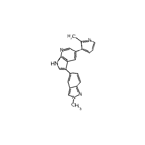 Cc1ncccc1-c1cnc2[nH]cc(-c3ccc4nn(C)cc4c3)c2c1